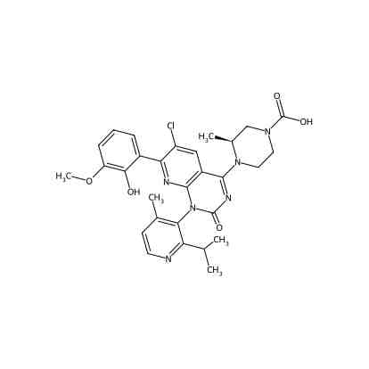 COc1cccc(-c2nc3c(cc2Cl)c(N2CCN(C(=O)O)C[C@@H]2C)nc(=O)n3-c2c(C)ccnc2C(C)C)c1O